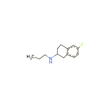 CCCNC1CCc2cc(F)ccc2C1